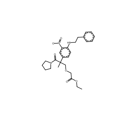 CCOC(=O)COCC(C)(C(=O)N1CCCC1)c1ccc(NCCc2ccccc2)c([N+](=O)[O-])c1